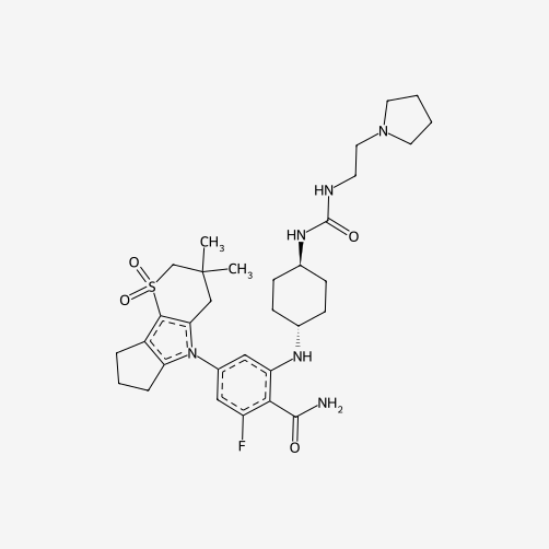 CC1(C)Cc2c(c3c(n2-c2cc(F)c(C(N)=O)c(N[C@H]4CC[C@H](NC(=O)NCCN5CCCC5)CC4)c2)CCC3)S(=O)(=O)C1